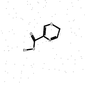 CCOC(=O)C1=COCC=N1